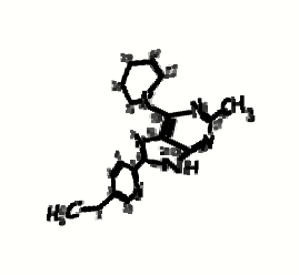 CCc1ccc(-c2nc3c(N4CCCCC4)nc(C)nc3[nH]2)nc1